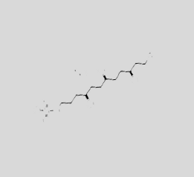 CC(=O)CCC(=O)CCC(=O)CCC(=O)CCCOS(=O)(=O)[O-].[Na+]